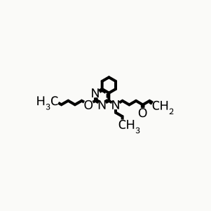 C=CC(=O)CCCN(CCC)c1nc(OCCCCC)nc2c1CCCC2